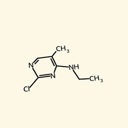 CCNc1nc(Cl)ncc1C